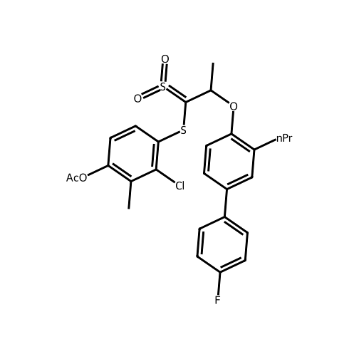 CCCc1cc(-c2ccc(F)cc2)ccc1OC(C)C(Sc1ccc(OC(C)=O)c(C)c1Cl)=S(=O)=O